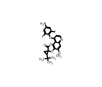 COc1cc2nccc(Oc3c(F)cc(N)cc3F)c2cc1OC1(C(=O)O)CC1C(C)(C)C